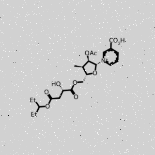 CCC(CC)OC(=O)C[C@H](O)C(=O)OC[C@H]1O[C@@H]([n+]2cccc(C(=O)O)c2)[C@H](OC(C)=O)[C@@H]1C